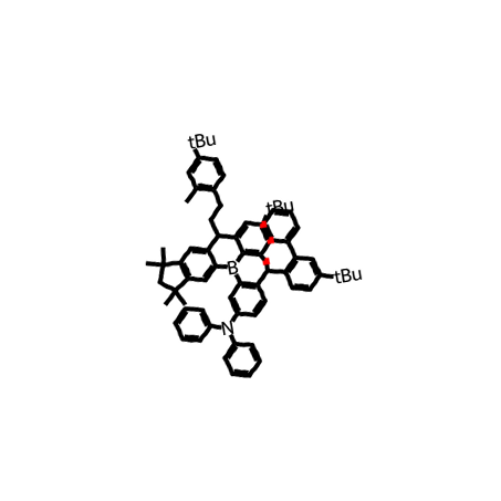 Cc1cc(C(C)(C)C)ccc1CCC1c2cc3c(cc2B(c2cc(N(c4ccccc4)c4ccccc4)ccc2C(C)c2ccc(C(C)(C)C)cc2-c2ccccc2)c2c(C)cc(C(C)(C)C)cc21)C(C)(C)CC3(C)C